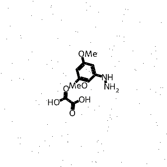 COc1cc(NN)cc(OC)c1.O=C(O)C(=O)O